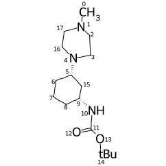 CN1CCN([C@H]2CCC[C@@H](NC(=O)OC(C)(C)C)C2)CC1